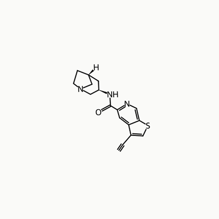 C#Cc1csc2cnc(C(=O)N[C@@H]3C[C@H]4CCN(C4)C3)cc12